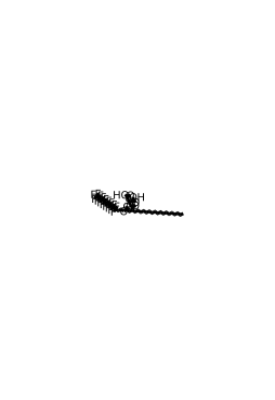 CCCCCCCCCCCCCCCCCCC(CC(=O)OCCC(F)(F)C(F)(F)C(F)(F)C(F)(F)C(F)(F)C(F)(F)C(F)(F)C(F)(F)F)C(=O)OC(CC(=O)O)C(=O)O